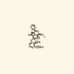 COc1cccc(CNc2[nH]nc(Nc3cccnc3)c2C(N)=O)c1O